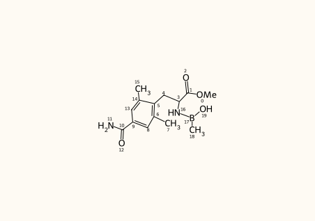 COC(=O)C(Cc1c(C)cc(C(N)=O)cc1C)NB(C)O